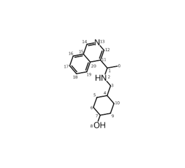 CC(NCC1CCC(O)CC1)c1cncc2ccccc12